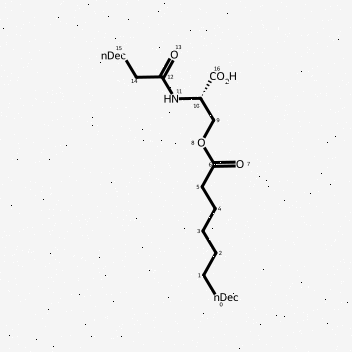 CCCCCCCCCCCCCCCC(=O)OC[C@H](NC(=O)CCCCCCCCCCC)C(=O)O